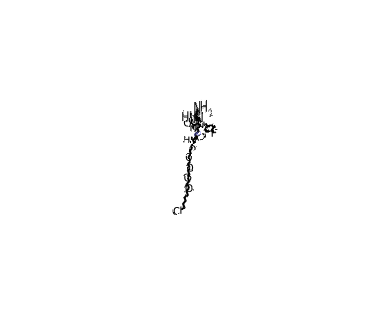 Nc1nc2c(nc(/C=C/C(=O)NCCOCCOCCOCCOCCOCCCCCCCl)n2Cc2ccc(F)cc2)c(=O)[nH]1